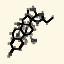 CCC(=O)O[C@]1(C(=O)O)[C@H](C)C[C@H]2[C@@H]3CCC4=CC(=O)C=C[C@]4(C)[C@@]3(F)[C@@H](O)C[C@@]21C